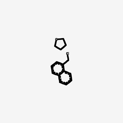 C1CCOC1.ClCc1cccc2ccccc12